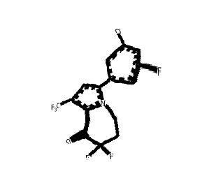 O=C1c2c(C(F)(F)F)cc(-c3cc(F)cc(Cl)c3)n2CCC1(F)F